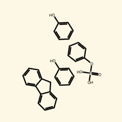 O=P(O)(O)Oc1ccccc1.Oc1ccccc1.Oc1ccccc1.c1ccc2c(c1)Cc1ccccc1-2